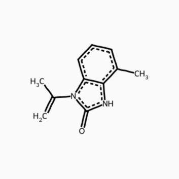 C=C(C)n1c(=O)[nH]c2c(C)cccc21